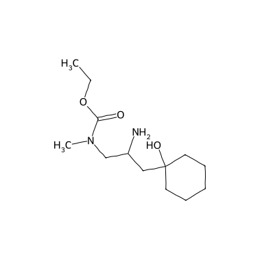 CCOC(=O)N(C)CC(N)CC1(O)CCCCC1